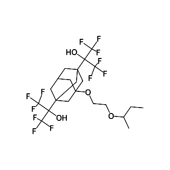 CCC(C)OCCOC12CC3CC(C(O)(C(F)(F)F)C(F)(F)F)(C1)CC(C(O)(C(F)(F)F)C(F)(F)F)(C3)C2